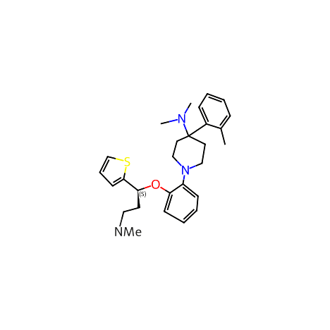 CNCC[C@H](Oc1ccccc1N1CCC(c2ccccc2C)(N(C)C)CC1)c1cccs1